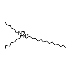 CCCCCCCCCCCCCCC[n+]1ccn(CCCCCC)c1CCCCCCC